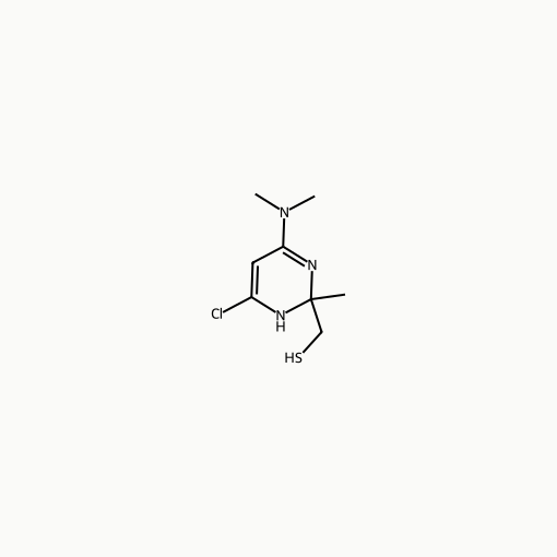 CN(C)C1=NC(C)(CS)NC(Cl)=C1